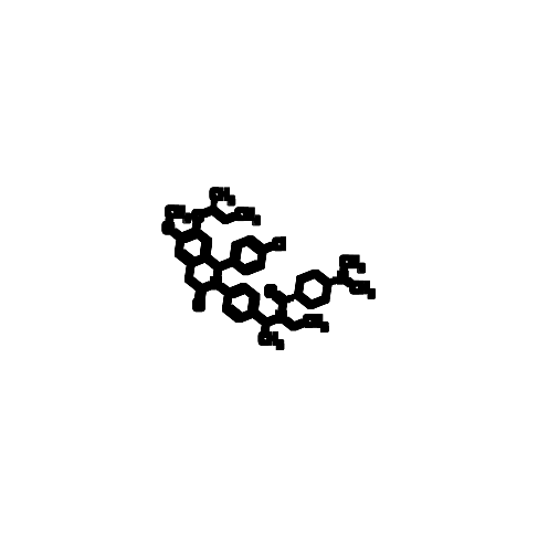 CC[C@@H](C)Oc1cc2c(cc1OC)CC(=O)N(c1ccc(C(C)N(CC)C(=O)[C@H]3CC[C@@H](N(C)C)CC3)cc1)C2c1ccc(Cl)cc1